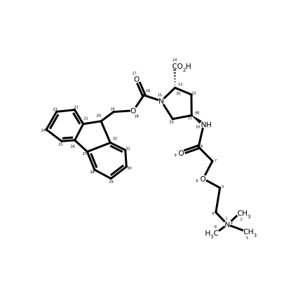 C[N+](C)(C)CCOCC(=O)N[C@@H]1C[C@@H](C(=O)O)N(C(=O)OCC2c3ccccc3-c3ccccc32)C1